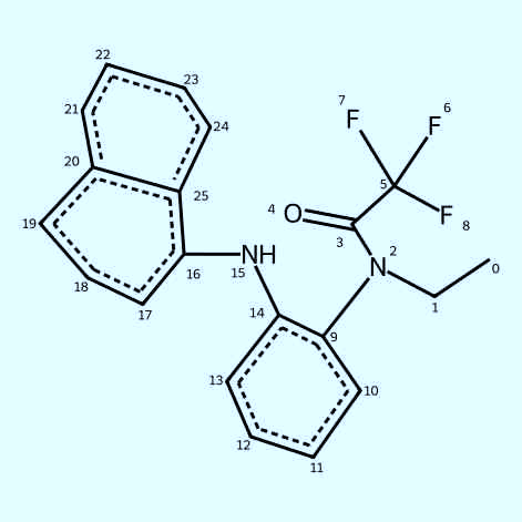 CCN(C(=O)C(F)(F)F)c1ccccc1Nc1cccc2ccccc12